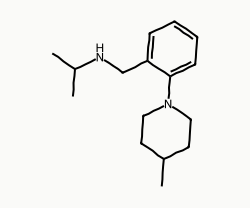 CC1CCN(c2ccccc2CNC(C)C)CC1